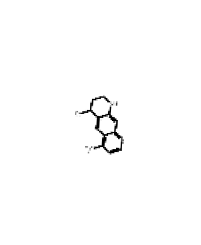 CCC1CCNc2cc3nccc(C(F)(F)F)c3cc21